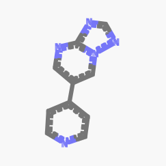 c1cc(-c2cnc3ncnn3c2)ccn1